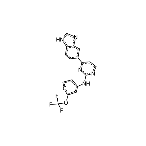 FC(F)(F)Oc1cccc(Nc2nccc(-c3ccc4[nH]cnc4c3)n2)c1